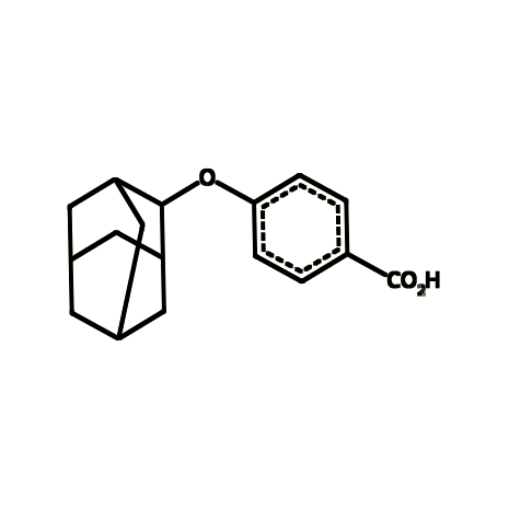 O=C(O)c1ccc(OC2C3CC4CC(C3)CC2C4)cc1